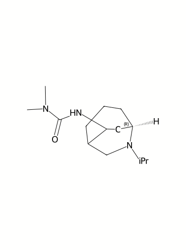 CC(C)N1CC2CCC[C@@H]1CC2NC(=O)N(C)C